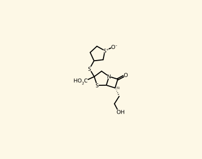 O=C1[C@H](CCO)C2SC(SC3CC[S+]([O-])C3)(C(=O)O)CN12